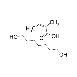 CC=C(C)C(=O)O.OCCCCCCCO